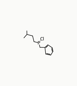 CC(C)CCP(Cl)Cc1ccccc1